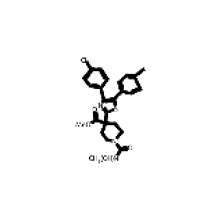 COC(=O)C1(c2nc(-c3ccc(Cl)cc3)c(-c3ccc(C)cc3)s2)CCN(C(=O)N(C)O)CC1